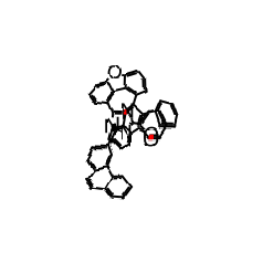 c1ccc(-c2nc(-c3ccc4ccc5ccccc5c4c3)nc(-c3cccc4oc5cccc(-c6cc7ccccc7c7oc8ccccc8c67)c5c34)n2)cc1